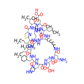 C=CCC(C)C(N)C1=NC(C(=O)NC(CC(C)C)C(=O)NC(CCC(=O)O)C(=O)NC(C(=O)NC2CCCCNC(=O)C(CC(N)=O)NC(=O)C(CC(=O)O)NC(=O)C(Cc3c[nH]cn3)NC(=O)C(Cc3ccccc3)NC(=O)C(C(C)CC=C)NC(=O)C(CCCN)NC2=O)C(C)CC=C)CS1